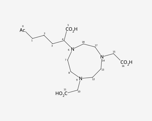 CC(=O)CCCC(C(=O)O)N1CCN(CC(=O)O)CCN(CC(=O)O)CC1